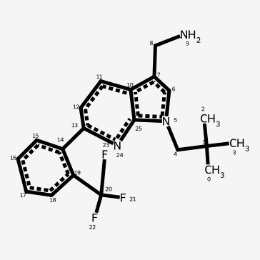 CC(C)(C)Cn1cc(CN)c2ccc(-c3ccccc3C(F)(F)F)nc21